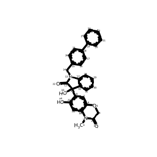 CN1C(=O)COc2cc(C3(O)C(=O)N(Cc4ccc(-c5ccccc5)cc4)c4ccccc43)c(O)cc21